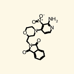 Nc1nccc(N2CCOC(CN3C(=O)c4ccccc4C3=O)C2)c1[N+](=O)[O-]